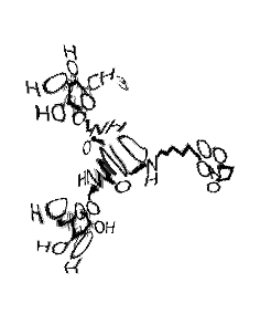 C[C@@H]1O[C@@H](OCCNC(=O)CN(CC(=O)NCCCCCC(=O)ON2C(=O)CCC2=O)CC(=O)NCCO[C@@H]2O[C@H](CO)[C@@H](O)[C@H](O)[C@H]2O)[C@@H](O)[C@H](O)[C@@H]1O